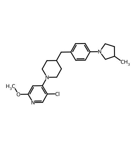 COc1cc(N2CCC(Cc3ccc(N4CCC(C)C4)cc3)CC2)c(Cl)cn1